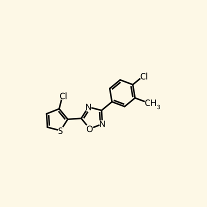 Cc1cc(-c2noc(-c3sccc3Cl)n2)ccc1Cl